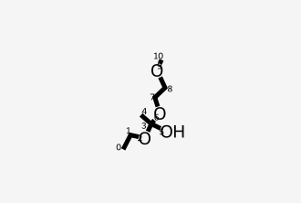 CCOC(C)(O)OCCOC